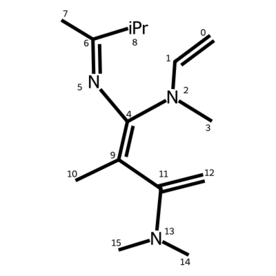 C=CN(C)C(/N=C(/C)C(C)C)=C(/C)C(=C)N(C)C